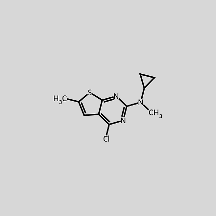 Cc1cc2c(Cl)nc(N(C)C3CC3)nc2s1